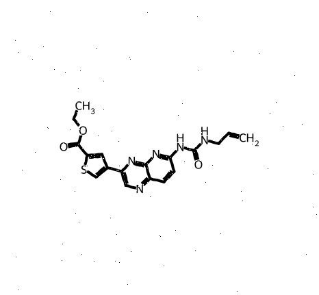 C=CCNC(=O)Nc1ccc2ncc(-c3csc(C(=O)OCC)c3)nc2n1